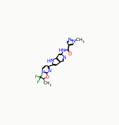 CC(Oc1nccc(-c2cc3cnc(NC(=O)c4cnn(C)c4)cc3[nH]2)n1)C(F)(F)F